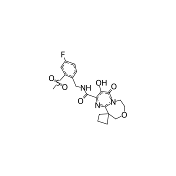 CS(=O)(=O)c1cc(F)ccc1CNC(=O)c1nc2n(c(=O)c1O)CCOCC21CCC1